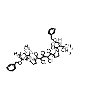 CC(C)[C@H](NC(=O)OCc1ccccc1)C(=O)N1CCC[C@H]1C(=O)C(Cl)C(=O)C(Cl)C(=O)[C@@H]1CCCN1C(=O)[C@@H](NC(=O)OCc1ccccc1)C(C)C